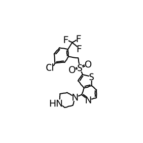 O=S(=O)(Cc1cc(Cl)ccc1C(F)(F)F)c1cc2c(N3CCNCC3)nccc2s1